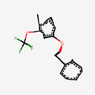 Cc1ccc(OCc2ccccc2)cc1OC(F)(F)F